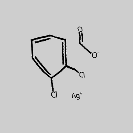 Clc1ccccc1Cl.O=C[O-].[Ag+]